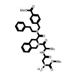 COC(=O)c1ccc(CN(CCc2ccccc2)C(=O)C2Cc3ccccc3CN2C(=O)C(NC(=O)CN(C)C(=O)OC(C)(C)C)C(C)(C)C)cc1